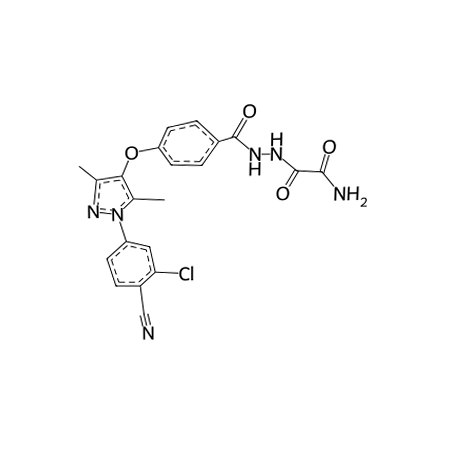 Cc1nn(-c2ccc(C#N)c(Cl)c2)c(C)c1Oc1ccc(C(=O)NNC(=O)C(N)=O)cc1